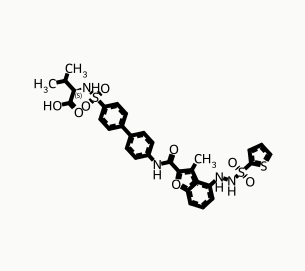 Cc1c(C(=O)Nc2ccc(-c3ccc(S(=O)(=O)N[C@H](C(=O)O)C(C)C)cc3)cc2)oc2cccc(NNS(=O)(=O)c3cccs3)c12